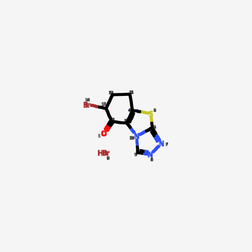 Br.O=C1c2c(sc3nncn23)CCC1Br